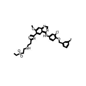 CCS(=O)(=O)CCNCCc1nc(-c2cc3c(Nc4ccc(OCc5cccc(F)c5)c(Cl)c4)ncnc3cc2OC)cs1